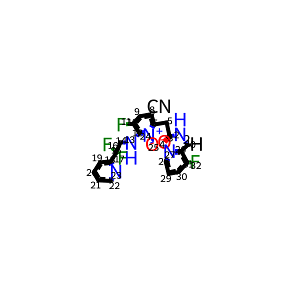 [2H][C@H](NC(=O)Cc1c(C#N)cc(F)c(NCC(F)(F)c2ccccn2)[n+]1[O-])c1ncccc1F